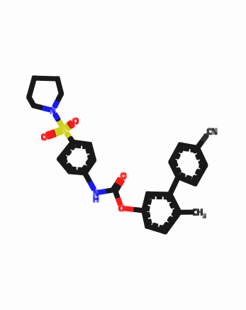 Cc1ccc(OC(=O)Nc2ccc(S(=O)(=O)N3CCCCC3)cc2)cc1-c1ccc(C#N)cc1